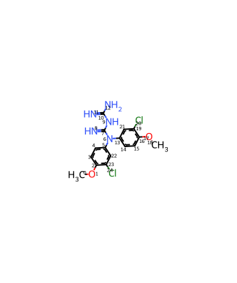 COc1ccc(N(C(=N)NC(=N)N)c2ccc(OC)c(Cl)c2)cc1Cl